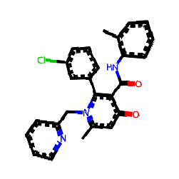 Cc1ccccc1NC(=O)c1c(-c2cccc(Cl)c2)n(Cc2ccccn2)c(C)cc1=O